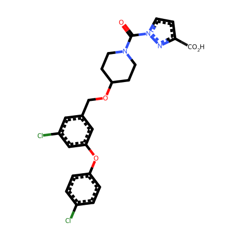 O=C(O)c1ccn(C(=O)N2CCC(OCc3cc(Cl)cc(Oc4ccc(Cl)cc4)c3)CC2)n1